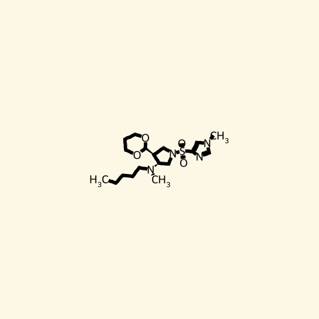 CCCCCN(C)[C@H]1CN(S(=O)(=O)c2cn(C)cn2)C[C@@H]1C1OCCCO1